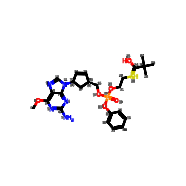 COc1nc(N)nc2c1ncn2[C@H]1C=C[C@@H](COP(=O)(OCC[SH]=C(O)C(C)(C)C)Oc2ccccc2)C1